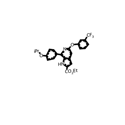 CCOC(=O)c1cc2cc(Oc3cccc(C(F)(F)F)c3)nc(-c3ccc(OC(C)C)cc3)c2[nH]1